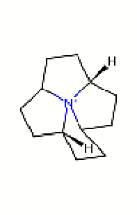 C1C[C@H]2CCC3CC[C@H]4CCC1[N+]342